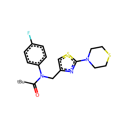 CC(C)(C)C(=O)N(Cc1csc(N2CCSCC2)n1)c1ccc(F)cc1